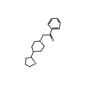 O=C(ON1CCC(C2OCCO2)CC1)c1ccccc1